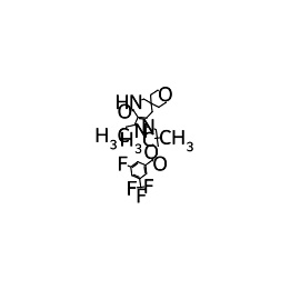 CCc1nn(CC(C)(C)COC(=O)c2cc(F)cc(C(F)(F)F)c2)c2c1C(=O)NCC1(CCOCC1)C2